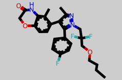 CCCCOCC(F)(F)Cn1nc(C)c(-c2ccc3c(c2C)NC(=O)CO3)c1-c1ccc(F)cc1